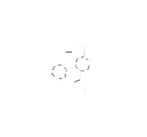 COC(=O)c1c(C)nc2c(c1-c1cccnc1)C(=O)OC2